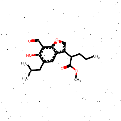 CCCC(C(=O)OC)c1coc2c(C=O)c(O)c(CC(C)C)cc12